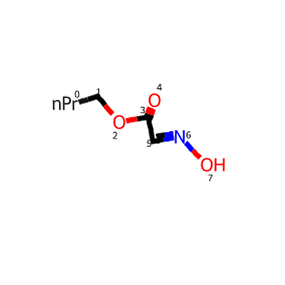 CCCCOC(=O)C=NO